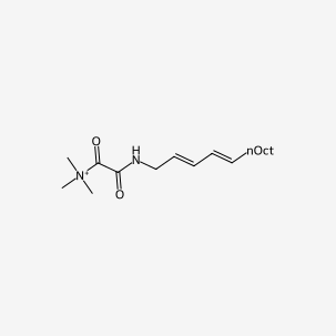 CCCCCCCCC=CC=CCNC(=O)C(=O)[N+](C)(C)C